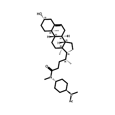 CC(=O)N(C)[C@H]1CC[C@H](N(C)C(=O)CC[C@@H](C)[C@H]2CC[C@H]3[C@@H]4CC=C5C[C@@H](O)CC[C@]5(C)[C@H]4CC[C@]23C)CC1